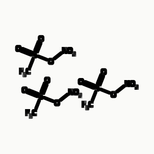 O=[N+]([O-])OS(=O)(=O)C(F)(F)F.O=[N+]([O-])OS(=O)(=O)C(F)(F)F.O=[N+]([O-])OS(=O)(=O)C(F)(F)F